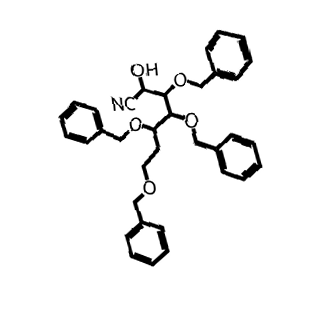 N#CC(O)C(OCc1ccccc1)C(OCc1ccccc1)C(CCOCc1ccccc1)OCc1ccccc1